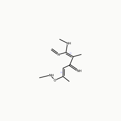 C=N/C(NC)=C(/C)C(=N)/C=C(\C)ONC